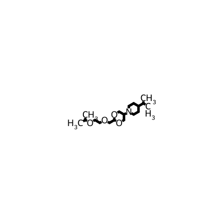 CC(C)OCCOCC1OCC(N2CCC(C(C)C)CC2)CO1